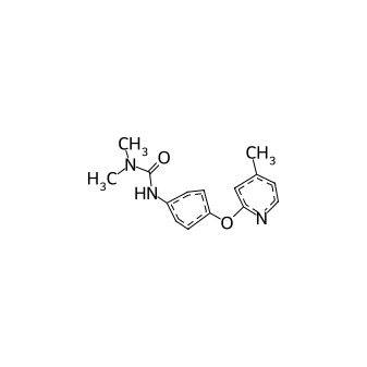 Cc1ccnc(Oc2ccc(NC(=O)N(C)C)cc2)c1